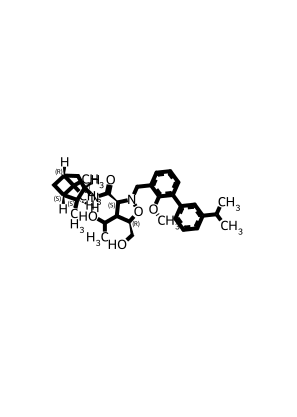 COc1c(CN2O[C@@H](CO)C(C(C)O)[C@H]2C(=O)N[C@H]2C[C@H]3C[C@@H]([C@@H]2C)C3(C)C)cccc1-c1cccc(C(C)C)c1